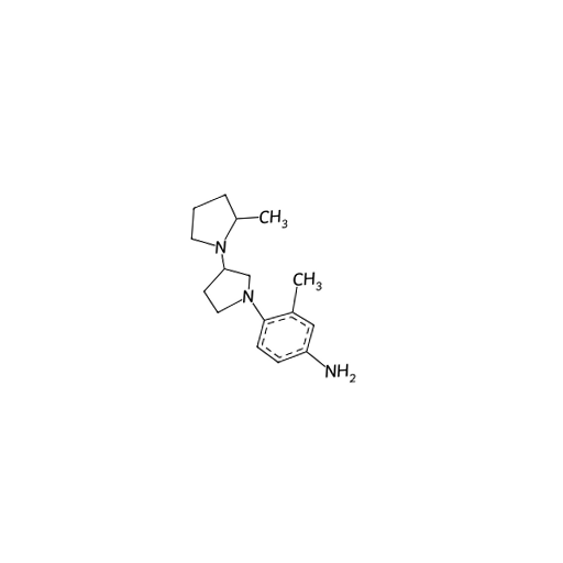 Cc1cc(N)ccc1N1CCC(N2CCCC2C)C1